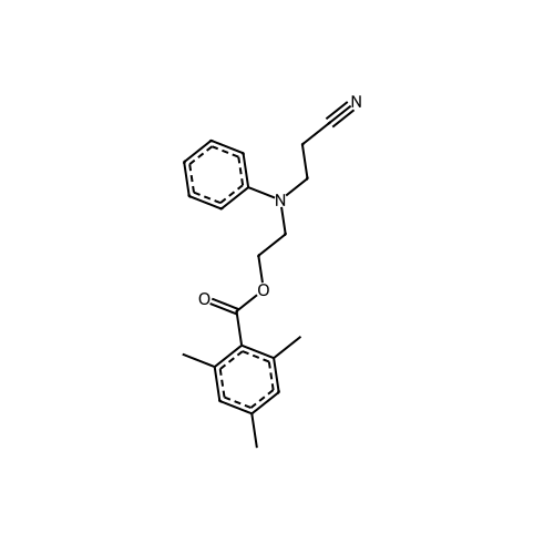 Cc1cc(C)c(C(=O)OCCN(CCC#N)c2ccccc2)c(C)c1